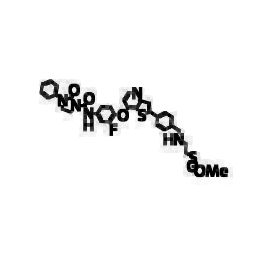 COOSCCNCc1ccc(-c2cc3nccc(Oc4ccc(NC(=O)N5CCN(c6ccccc6)C5=O)cc4F)c3s2)cc1